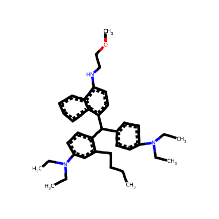 CCCCc1cc(N(CC)CC)ccc1C(c1ccc(N(CC)CC)cc1)c1ccc(NCCOC)c2ccccc12